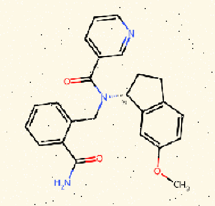 COc1ccc2c(c1)[C@H](N(Cc1ccccc1C(N)=O)C(=O)c1cccnc1)CC2